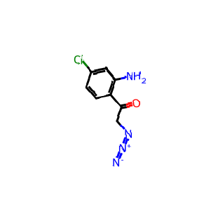 [N-]=[N+]=NCC(=O)c1ccc(Cl)cc1N